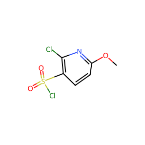 COc1ccc(S(=O)(=O)Cl)c(Cl)n1